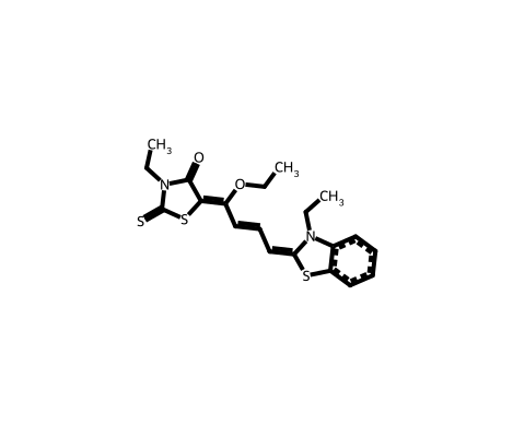 CCOC(C=CC=C1Sc2ccccc2N1CC)=C1SC(=S)N(CC)C1=O